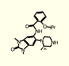 CC(C)Oc1ccccc1C(=O)Nc1cc2c(cc1N1CCNC[C@H]1C)n(C)c(=O)n2C